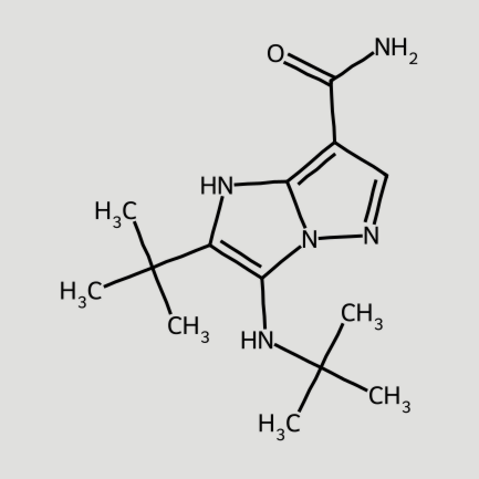 CC(C)(C)Nc1c(C(C)(C)C)[nH]c2c(C(N)=O)cnn12